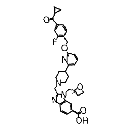 O=C(O)c1ccc2nc(CN3CCC(c4cccc(OCc5ccc(C(=O)C6CC6)cc5F)n4)CC3)n(C[C@@H]3CCO3)c2c1